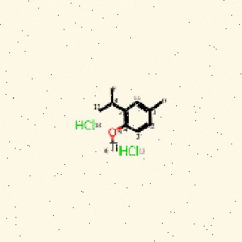 Cc1ccc([O][Ti])c(C(C)C)c1.Cl.Cl